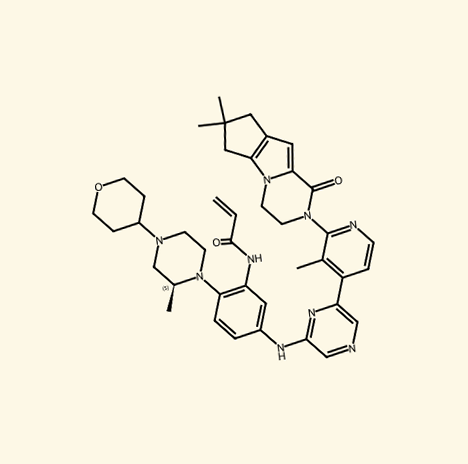 C=CC(=O)Nc1cc(Nc2cncc(-c3ccnc(N4CCn5c(cc6c5CC(C)(C)C6)C4=O)c3C)n2)ccc1N1CCN(C2CCOCC2)C[C@@H]1C